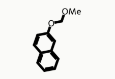 COCOc1ccc2ccccc2c1